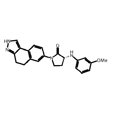 COc1cccc(N[C@@H]2CCN(c3ccc4c(c3)CCc3n[nH]cc3-4)C2=O)c1